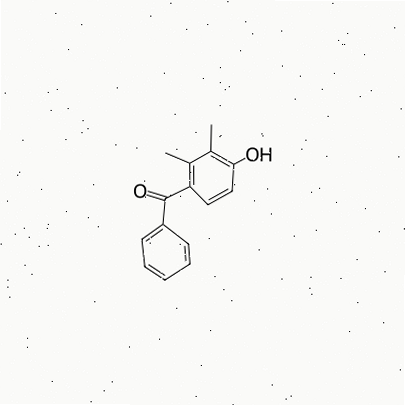 Cc1c(O)ccc(C(=O)c2ccccc2)c1C